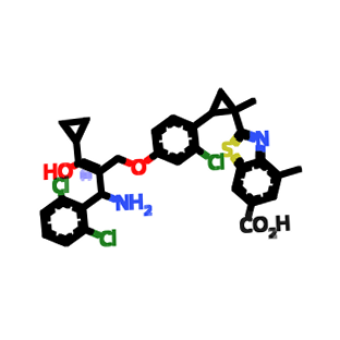 Cc1cc(C(=O)O)cc2sc(C3(C)CC3c3ccc(OC/C(=C(/O)C4CC4)C(N)c4c(Cl)cccc4Cl)cc3Cl)nc12